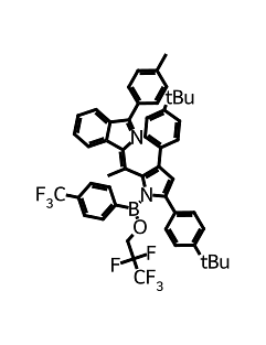 C/C(=C1/N=C(c2ccc(C)cc2)c2ccccc21)c1c(-c2ccc(C(C)(C)C)cc2)cc(-c2ccc(C(C)(C)C)cc2)n1B(OCC(F)(F)C(F)(F)F)c1ccc(C(F)(F)F)cc1